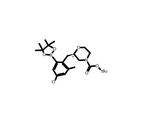 Cc1cc(Cl)cc(B2OC(C)(C)C(C)(C)O2)c1C[C@@H]1CN(C(=O)OC(C)(C)C)CCO1